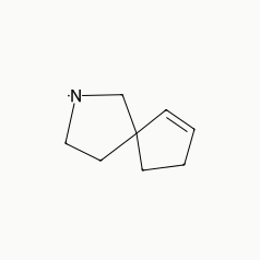 C1=CC2(CC1)CC[N]C2